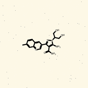 Cc1ccc2cc(-c3nn(C(CO)CO)c(N)c3C(N)=O)cnc2c1